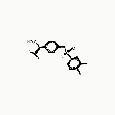 Cc1ccc(S(=O)(=O)Cc2ccc(C(C(=O)O)=C(F)F)cc2)cc1F